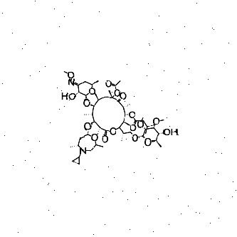 CO/N=C1\C[C@@H](C)O[C@@H](O[C@@H]2[C@@H](C)[C@H](O[C@H]3C[C@@H](C)N(C4CC4)CC(C)O3)[C@@H](C)C(=O)OC([C@@H](C)CO[C@@H]3O[C@H](C)[C@@H](O)[C@@H](OC)[C@H]3OC)[C@H](C)[C@@H](OC(=O)CC(C)C)[C@@H](C)C(=O)[C@@](C)(OC(C)=O)C[C@@H]2C)[C@@H]1O